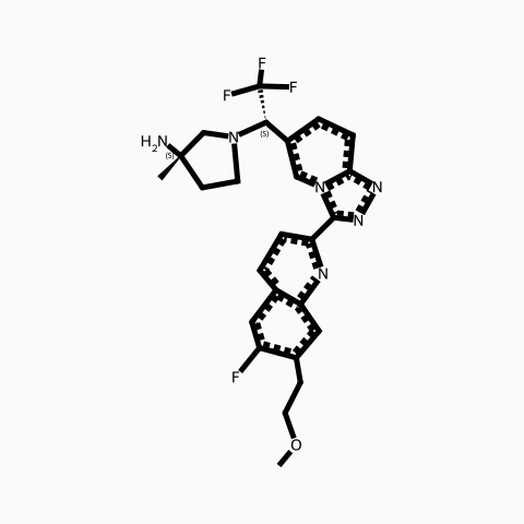 COCCc1cc2nc(-c3nnc4ccc([C@H](N5CC[C@](C)(N)C5)C(F)(F)F)cn34)ccc2cc1F